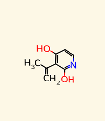 C=C(C)c1c(O)ccnc1O